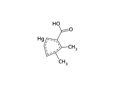 Cc1cccc(C(=O)O)c1C.[Hg]